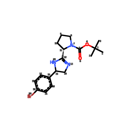 CC(C)(C)OC(=O)N1CCC[C@H]1C1=NCC(c2ccc(Br)cc2)N1